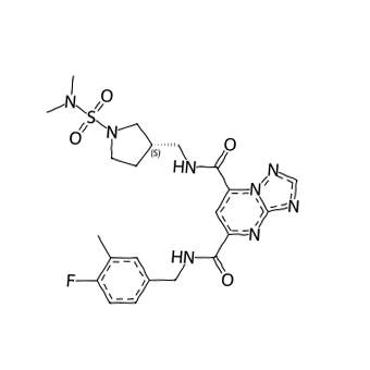 Cc1cc(CNC(=O)c2cc(C(=O)NC[C@@H]3CCN(S(=O)(=O)N(C)C)C3)n3ncnc3n2)ccc1F